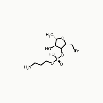 CC(C)C[C@H]1O[C@@H](C)[C@H](O)[C@@H]1OP(=O)(O)OCCCN